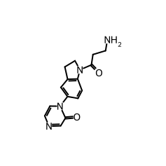 NCCC(=O)N1CCc2cc(-n3ccncc3=O)ccc21